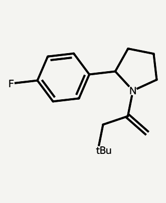 C=C(CC(C)(C)C)N1CCCC1c1ccc(F)cc1